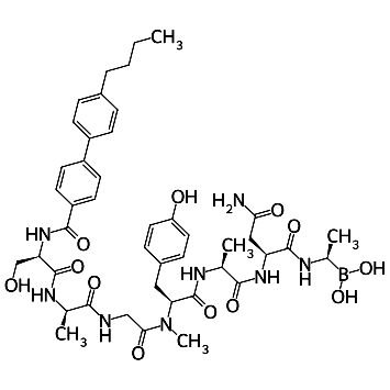 CCCCc1ccc(-c2ccc(C(=O)N[C@H](CO)C(=O)N[C@H](C)C(=O)NCC(=O)N(C)[C@@H](Cc3ccc(O)cc3)C(=O)N[C@@H](C)C(=O)N[C@@H](CC(N)=O)C(=O)N[C@@H](C)B(O)O)cc2)cc1